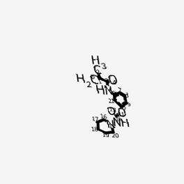 C=C(C)C(=O)Nc1cccc(OC(=O)NN2CCCCC2)c1